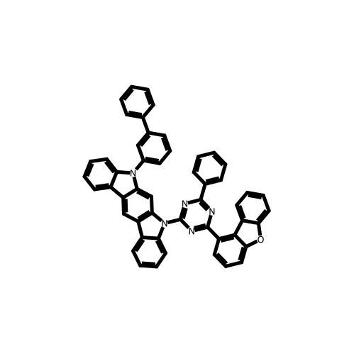 c1ccc(-c2cccc(-n3c4ccccc4c4cc5c6ccccc6n(-c6nc(-c7ccccc7)nc(-c7cccc8oc9ccccc9c78)n6)c5cc43)c2)cc1